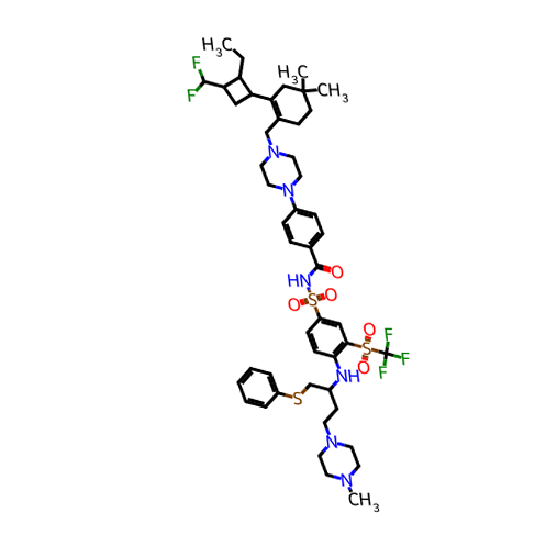 CCC1C(C2=C(CN3CCN(c4ccc(C(=O)NS(=O)(=O)c5ccc(NC(CCN6CCN(C)CC6)CSc6ccccc6)c(S(=O)(=O)C(F)(F)F)c5)cc4)CC3)CCC(C)(C)C2)CC1C(F)F